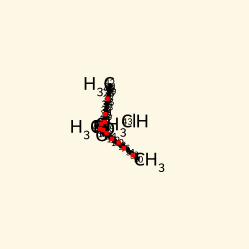 CCCCCCCCCCCCCCCCCC(=O)C(CN(C)C)C(=O)CCCCCCCCCCCCCCCCC.Cl